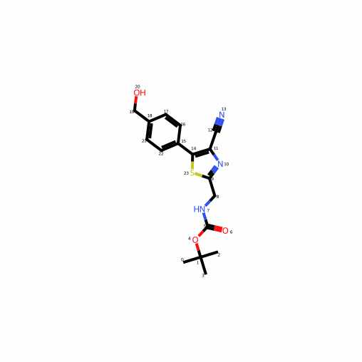 CC(C)(C)OC(=O)NCc1nc(C#N)c(-c2ccc(CO)cc2)s1